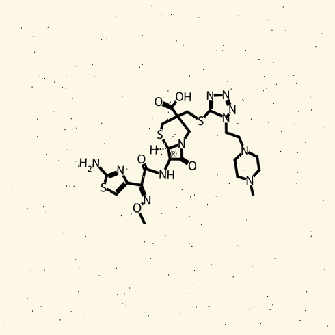 CON=C(C(=O)NC1C(=O)N2CC(CSc3nnnn3CCN3CCN(C)CC3)(C(=O)O)CS[C@H]12)c1csc(N)n1